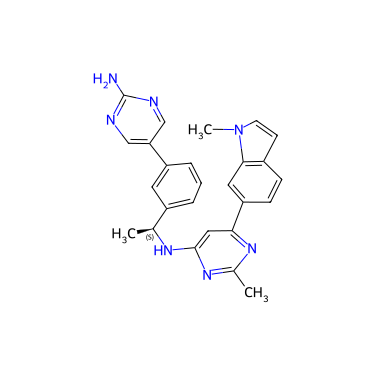 Cc1nc(N[C@@H](C)c2cccc(-c3cnc(N)nc3)c2)cc(-c2ccc3ccn(C)c3c2)n1